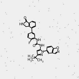 CC(C)(C)c1cc(NC(=O)Nc2cc(-c3cccc4c3CNC4=O)ccc2F)n(-c2ccc3oncc3c2)n1